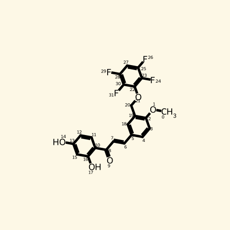 COc1ccc(/C=C/C(=O)c2ccc(O)cc2O)cc1COc1c(F)c(F)cc(F)c1F